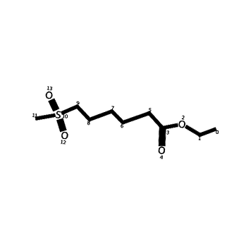 CCOC(=O)CCCCCS(C)(=O)=O